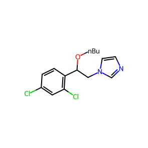 CCCCOC(Cn1ccnc1)c1ccc(Cl)cc1Cl